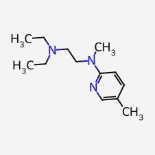 CCN(CC)CCN(C)c1ccc(C)cn1